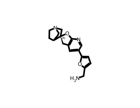 NCc1ccc(-c2cnc3c(c2)C[C@@]2(CN4CCC2CC4)O3)o1